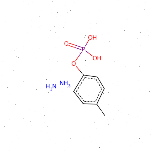 Cc1ccc(OP(=O)(O)O)cc1.N.N